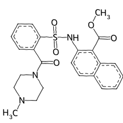 COC(=O)c1c(NS(=O)(=O)c2ccccc2C(=O)N2CCN(C)CC2)ccc2ccccc12